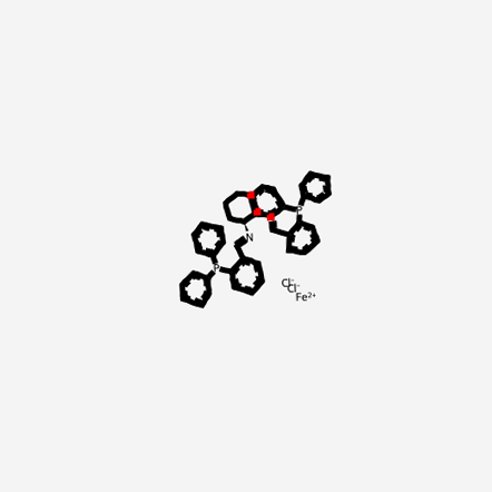 C(=N[C@@H]1CCCC[C@H]1N=Cc1ccccc1P(c1ccccc1)c1ccccc1)c1ccccc1P(c1ccccc1)c1ccccc1.[Cl-].[Cl-].[Fe+2]